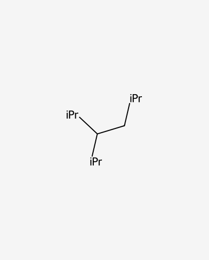 [CH2]C(C)CC(C(C)C)C(C)C